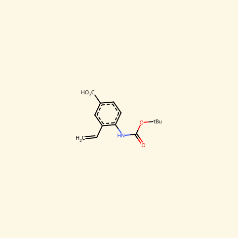 C=Cc1cc(C(=O)O)ccc1NC(=O)OC(C)(C)C